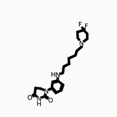 O=C1CCN(c2cccc(NCCCCCCCN3CCC(F)(F)CC3)c2)C(=O)N1